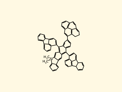 C[Si]1(C)c2ccccc2-c2cc3c(-c4ccc5c6c(cccc46)C4C=CC=CC54)c4ccc(-c5cc6cccc7ccc8c(c5CCC=8)c76)cc4c(-c4ccc5c6c(cccc46)-c4ccccc4-5)c3cc21